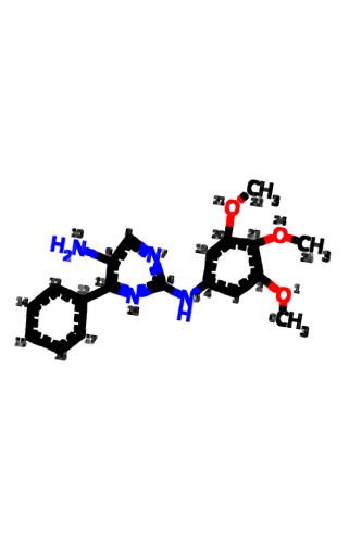 COc1cc(Nc2ncc(N)c(-c3ccccc3)n2)cc(OC)c1OC